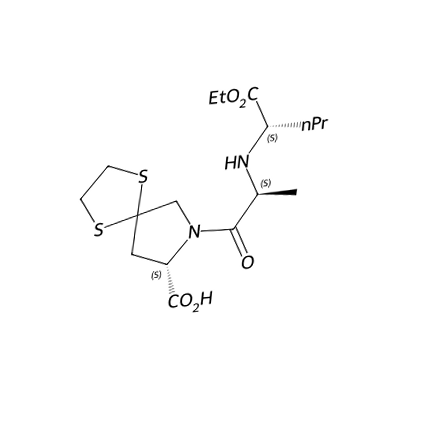 CCC[C@H](N[C@@H](C)C(=O)N1CC2(C[C@H]1C(=O)O)SCCS2)C(=O)OCC